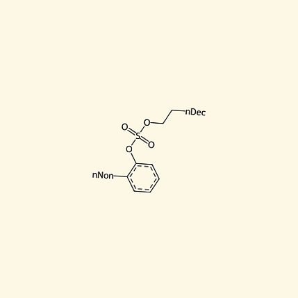 CCCCCCCCCCCCOS(=O)(=O)Oc1ccccc1CCCCCCCCC